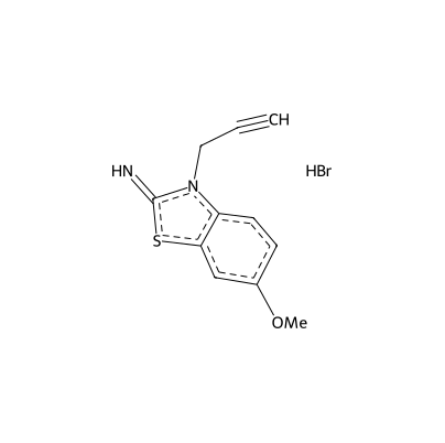 Br.C#CCn1c(=N)sc2cc(OC)ccc21